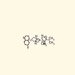 CC(C)C(=O)NC(C)(C)[C@H]1C[C@H]2C[C@@H](c3ccnc4ccc(F)cc34)C[C@H]2C1